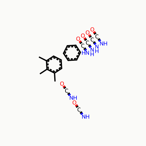 Cc1cccc(C)c1C.N=C=O.N=C=O.N=C=O.N=C=O.N=C=O.N=C=O.c1ccccc1